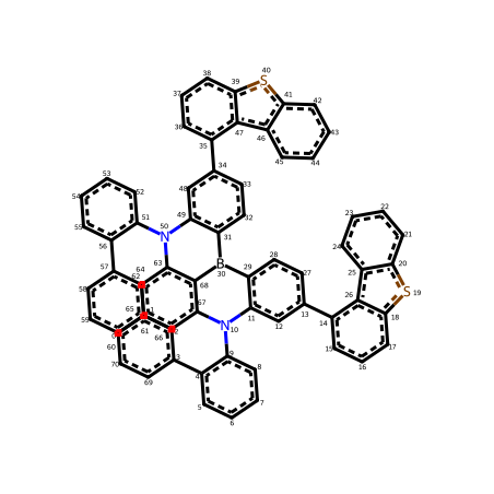 c1ccc(-c2ccccc2N2c3cc(-c4cccc5sc6ccccc6c45)ccc3B3c4ccc(-c5cccc6sc7ccccc7c56)cc4N(c4ccccc4-c4ccccc4)c4cccc2c43)cc1